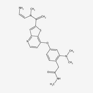 C=C(c1cc2nccc(Oc3ccc(CC(=O)NC)c(N(C)C)c3)c2s1)N(C)/C=C\N